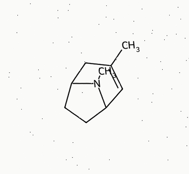 CC1=CC2CCC(C1)N2C